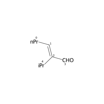 CCCC=C(C=O)C(C)C